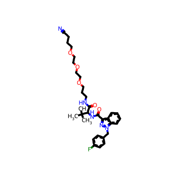 CC(C)(C)C(NC(=O)c1nn(Cc2ccc(F)cc2)c2ccccc12)C(=O)NCCCOCCOCCOCCCC#N